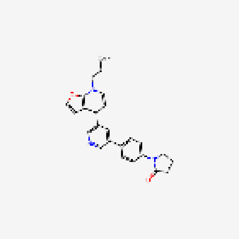 COCCN1C=CC(c2cncc(-c3ccc(N4CCCC4=O)cc3)c2)c2ccoc21